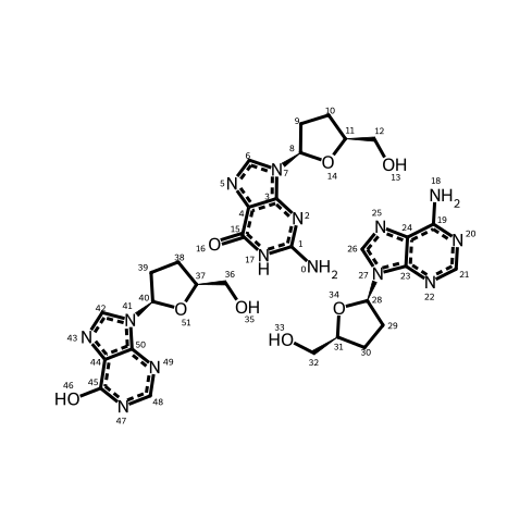 Nc1nc2c(ncn2[C@H]2CC[C@@H](CO)O2)c(=O)[nH]1.Nc1ncnc2c1ncn2[C@H]1CC[C@@H](CO)O1.OC[C@@H]1CC[C@H](n2cnc3c(O)ncnc32)O1